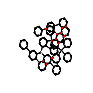 c1ccc(-c2ccc(N(c3cc(-c4ccccc4)ccc3-c3ccccc3)c3cccc4c3-c3ccccc3C4(c3ccccc3)c3cccc(-c4ccccc4-c4ccc(-c5ccccc5)cc4N(c4ccccc4)c4cccc5c4-c4ccccc4C5(c4ccccc4)c4ccccc4)c3)cc2)cc1